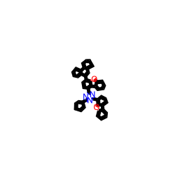 c1ccc(-c2nc(-c3cccc4c3oc3ccccc34)nc(-c3ccc(-c4cc5ccccc5c5ccccc45)c4oc5ccccc5c34)n2)cc1